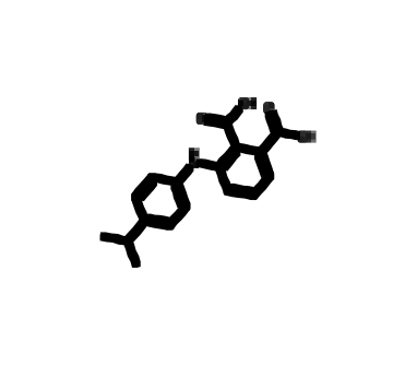 CC(C)c1ccc(Nc2cccc(C(=O)O)c2C(=O)O)cc1